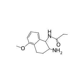 CCC(=O)NC1c2cccc(OC)c2CCC1N